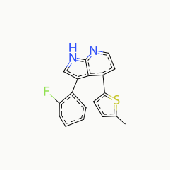 Cc1ccc(-c2ccnc3[nH]cc(-c4ccccc4F)c23)s1